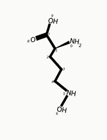 N[C@@H](CCCNO)C(=O)O